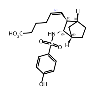 O=C(O)CCC/C=C\[C@H]1[C@@H]2CC[C@@H](C2)[C@@H]1NS(=O)(=O)c1ccc(O)cc1